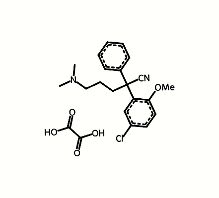 COc1ccc(Cl)cc1C(C#N)(CCCN(C)C)c1ccccc1.O=C(O)C(=O)O